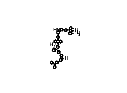 CC1(C)c2ccccc2N(c2ccc(-c3ccc4[nH]c5ccc(-c6ccc(N7c8ccccc8C(C)(Cc8ccc(N(c9ccccc9)c9ccc(-c%10ccc%11[nH]c%12ccc(-c%13ccc(N(c%14ccccc%14)c%14ccccc%14)cc%13)cc%12c%11c%10)cc9)cc8)c8ccccc87)cc6)cc5c4c3)cc2)c2ccccc21